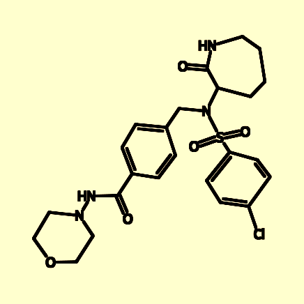 O=C(NN1CCOCC1)c1ccc(CN(C2CCCCNC2=O)S(=O)(=O)c2ccc(Cl)cc2)cc1